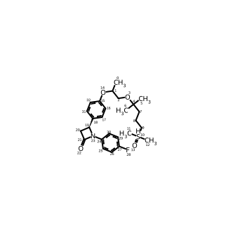 CC(COC(C)(C)CCC[SH](C)(C)=O)Oc1ccc([C@@H]2CC(=O)N2c2ccc(F)cc2)cc1